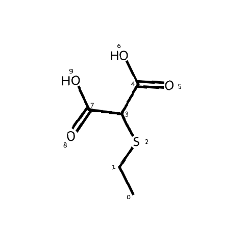 CCSC(C(=O)O)C(=O)O